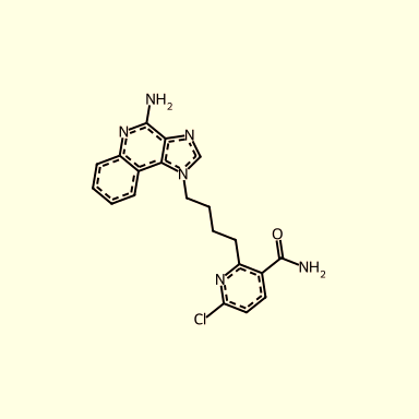 NC(=O)c1ccc(Cl)nc1CCCCn1cnc2c(N)nc3ccccc3c21